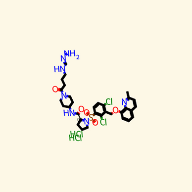 Cc1ccc2cccc(OCc3c(Cl)ccc(S(=O)(=O)N4CCC[C@H]4C(=O)NC4CCN(C(=O)CCCNC=NN)CC4)c3Cl)c2n1.Cl.Cl